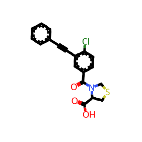 O=C(O)C1CSCN1C(=O)c1ccc(Cl)c(C#Cc2ccccc2)c1